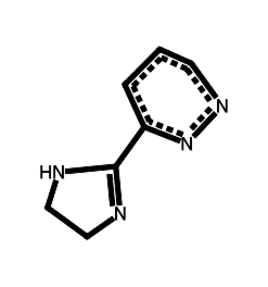 c1cnnc(C2=NCCN2)c1